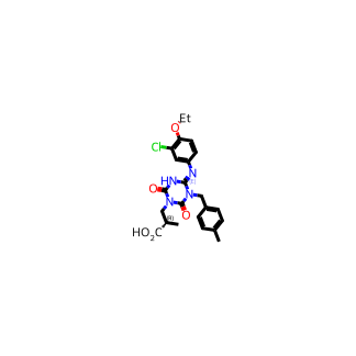 CCOc1ccc(/N=c2\[nH]c(=O)n(C[C@@H](C)C(=O)O)c(=O)n2Cc2ccc(C)cc2)cc1Cl